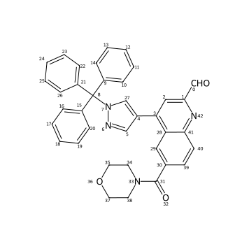 O=Cc1cc(-c2cnn(C(c3ccccc3)(c3ccccc3)c3ccccc3)c2)c2cc(C(=O)N3CCOCC3)ccc2n1